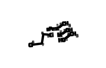 CCCCCC.CCO.CO.ClCCCl